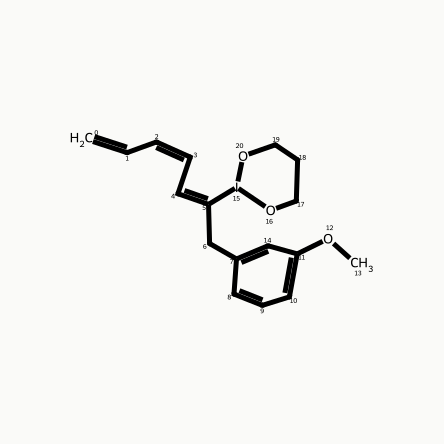 C=C/C=C\C=C(\Cc1cccc(OC)c1)I1OCCCO1